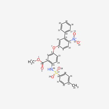 COC(=O)c1cc(Oc2ccc([N+](=O)[O-])c(-c3ccccc3)c2)ccc1NS(=O)(=O)c1ccc(C)cc1